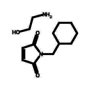 NCCO.O=C1C=CC(=O)N1CC1CCCCC1